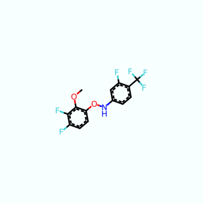 COc1c(ONc2ccc(C(F)(F)F)c(F)c2)ccc(F)c1F